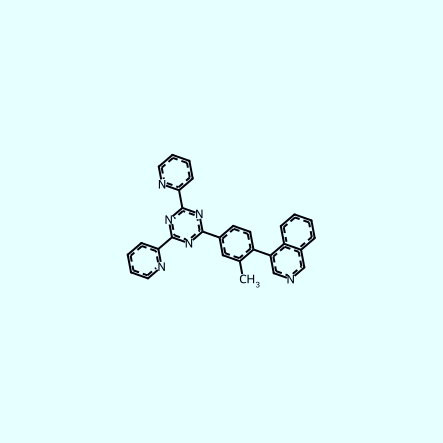 Cc1cc(-c2nc(-c3ccccn3)nc(-c3ccccn3)n2)ccc1-c1cncc2ccccc12